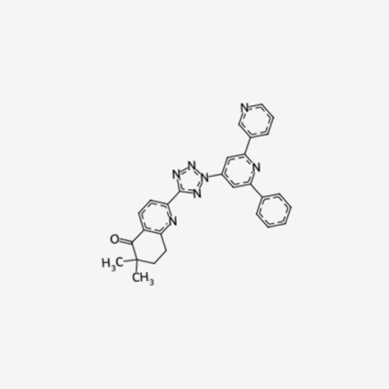 CC1(C)CCc2nc(-c3nnn(-c4cc(-c5ccccc5)nc(-c5cccnc5)c4)n3)ccc2C1=O